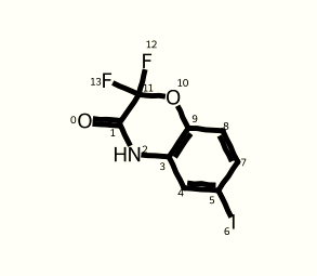 O=C1Nc2cc(I)ccc2OC1(F)F